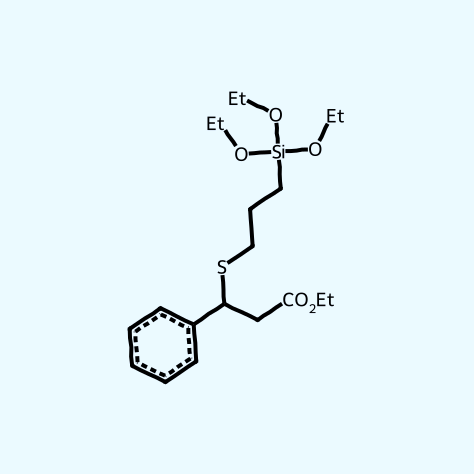 CCOC(=O)CC(SCCC[Si](OCC)(OCC)OCC)c1ccccc1